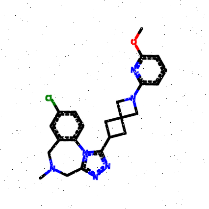 COc1cccc(N2CC3(CC(c4nnc5n4-c4ccc(Cl)cc4CN(C)C5)C3)C2)n1